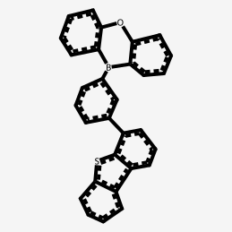 c1cc(B2c3ccccc3Oc3ccccc32)cc(-c2cccc3c2sc2ccccc23)c1